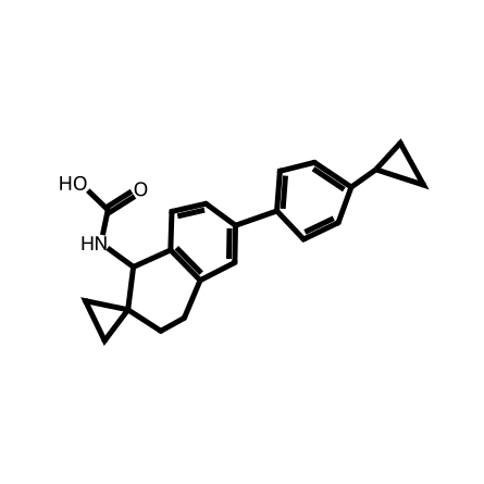 O=C(O)NC1c2ccc(-c3ccc(C4CC4)cc3)cc2CCC12CC2